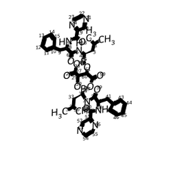 CC(C)C[C@H](NC(=O)C(Cc1ccccc1)NC(=O)c1cnccn1)B1OC(=O)C2OB([C@H](CC(C)C)NC(=O)C(Cc3ccccc3)NC(=O)c3cnccn3)OC(=O)C2O1